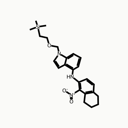 C[Si](C)(C)CCOCn1ccc2c(Nc3ccc4c(c3[N+](=O)[O-])CCCC4)cccc21